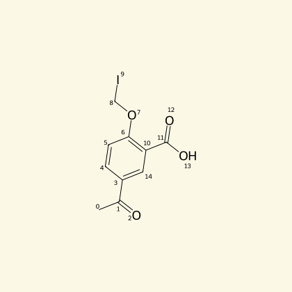 CC(=O)c1ccc(OCI)c(C(=O)O)c1